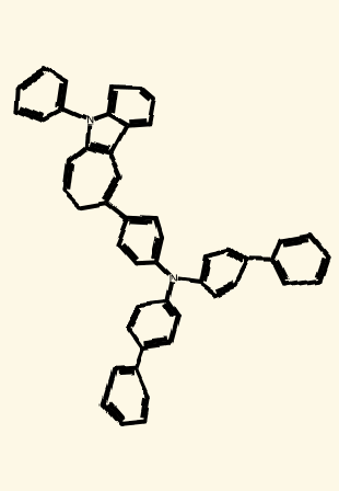 C1=Cc2c(c3ccccc3n2-c2ccccc2)C=C(c2ccc(N(c3ccc(-c4ccccc4)cc3)c3ccc(-c4ccccc4)cc3)cc2)C1